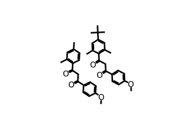 COc1ccc(C(=O)CC(=O)c2c(C)cc(C(C)(C)C)cc2C)cc1.COc1ccc(C(=O)CC(=O)c2ccc(C)cc2C)cc1